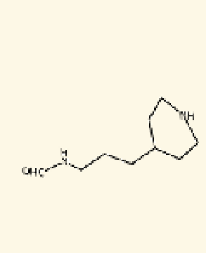 O=CNCCCC1CCNCC1